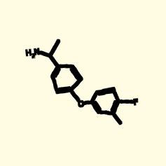 Cc1cc(Oc2ccc(C(C)N)cc2)ccc1F